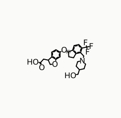 O=C(O)CC1COc2cc(O[C@@H]3CCc4c3ccc(C(F)(F)F)c4CN3CCC(CO)CC3)ccc21